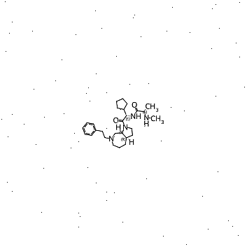 CN[C@@H](C)C(=O)N[C@H](C(=O)N1CC[C@H]2CCCN(CCc3ccccc3)C[C@H]21)C1CCCC1